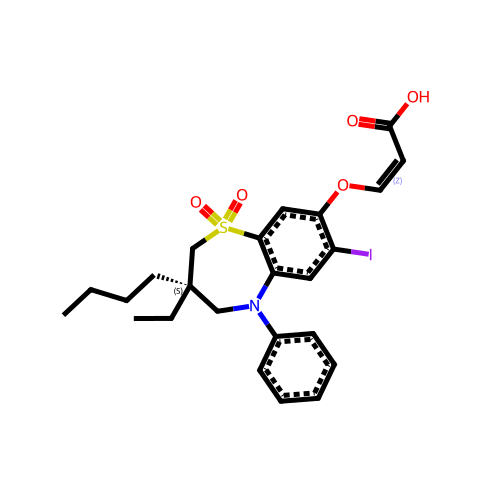 CCCC[C@@]1(CC)CN(c2ccccc2)c2cc(I)c(O/C=C\C(=O)O)cc2S(=O)(=O)C1